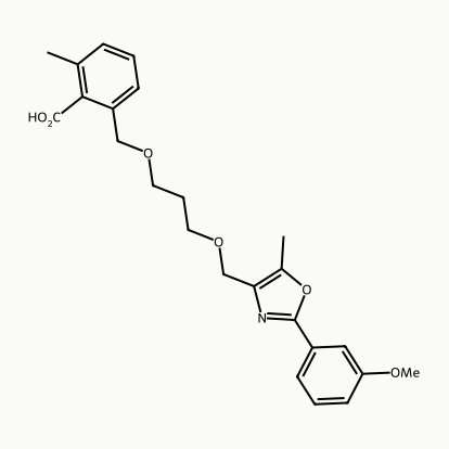 COc1cccc(-c2nc(COCCCOCc3cccc(C)c3C(=O)O)c(C)o2)c1